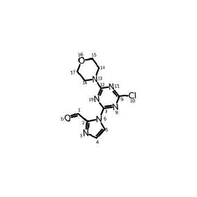 O=Cc1nccn1-c1nc(Cl)nc(N2CCOCC2)n1